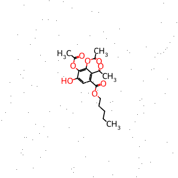 CCCCCOC(=O)c1cc(O)c(OC(C)=O)c(OC(C)=O)c1C(C)=O